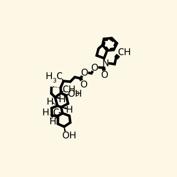 C#CCN(C(=O)OCOC(=O)CC[C@@H](C)[C@H]1CC[C@H]2[C@@H]3CC[C@@H]4C[C@H](O)CC[C@]4(C)[C@H]3C[C@H](O)[C@]12C)[C@@H]1CCc2ccccc21